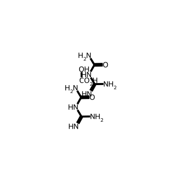 N=C(N)NC(N)=O.N=C(N)NC(N)=O.O=C(O)O